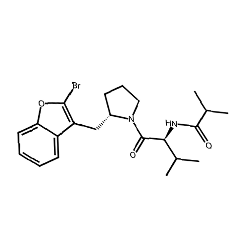 CC(C)C(=O)N[C@H](C(=O)N1CCC[C@H]1Cc1c(Br)oc2ccccc12)C(C)C